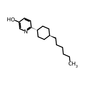 CCCCCC[C@H]1CC[C@H](c2ccc(O)cn2)CC1